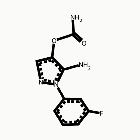 NC(=O)Oc1cnn(-c2cccc(F)c2)c1N